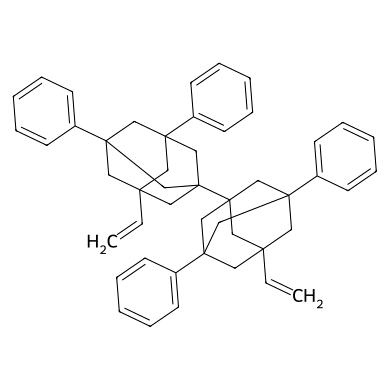 C=CC12CC3(c4ccccc4)CC(c4ccccc4)(C1)CC(C14CC5(C=C)CC(c6ccccc6)(CC(c6ccccc6)(C5)C1)C4)(C2)C3